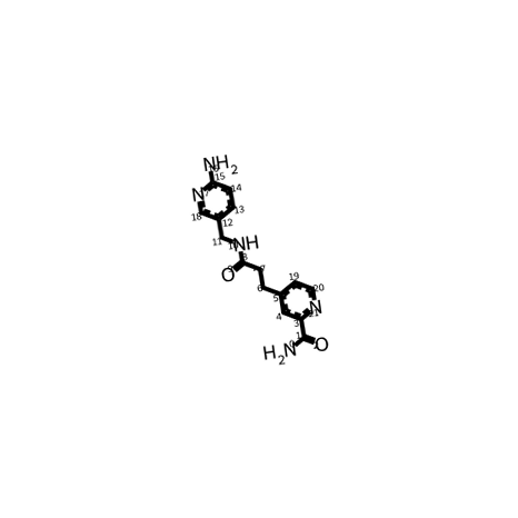 NC(=O)c1cc(C[CH]C(=O)NCc2ccc(N)nc2)ccn1